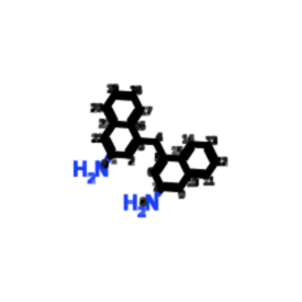 Nc1cc(Cc2cc(N)cc3ccccc23)c2ccccc2c1